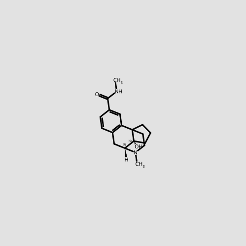 CNC(=O)c1ccc2c(c1)C13CCC[C@@]1(O)[C@@H](C2)N(C)CC3